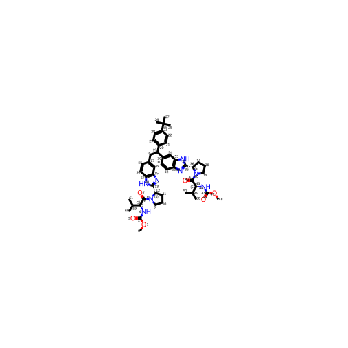 COC(=O)N[C@H](C(=O)N1CCC[C@H]1c1nc2cc(CC(c3ccc(C(C)(C)C)cc3)c3ccc4nc([C@@H]5CCCN5C(=O)[C@@H](NC(=O)OC)C(C)C)[nH]c4c3)ccc2[nH]1)C(C)C